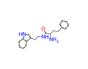 NC(CCc1ccccc1)C(=O)NCCc1c[nH]c2ccccc12